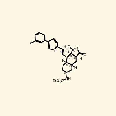 CCOC(=O)N[C@H]1CC[C@@H]2[C@@H](C1)C[C@@H]1C(=O)O[C@H](C)[C@@H]1[C@@H]2/C=C/c1ccc(-c2cccc(F)c2)cn1